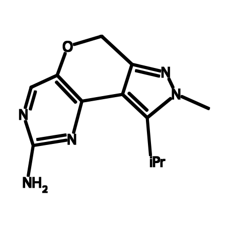 CC(C)c1c2c(nn1C)COc1cnc(N)nc1-2